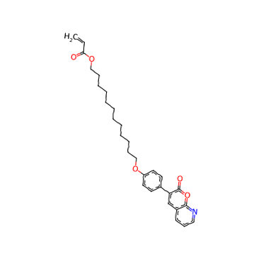 C=CC(=O)OCCCCCCCCCCCCOc1ccc(-c2cc3cccnc3oc2=O)cc1